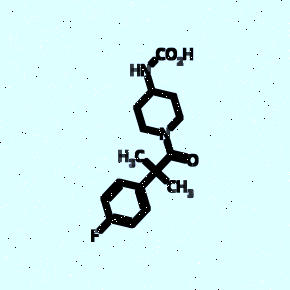 CC(C)(C(=O)N1CCC(NC(=O)O)CC1)c1ccc(F)cc1